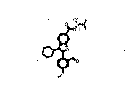 COc1ccc(-c2[nH]c3cc(C(=O)N[S+]([O-])N(C)C)ccc3c2C2CCCCC2)c(C=O)c1